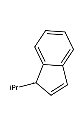 CC(C)[C]1C=Cc2ccccc21